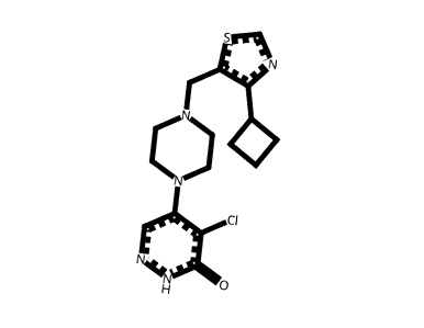 O=c1[nH]ncc(N2CCN(Cc3scnc3C3CCC3)CC2)c1Cl